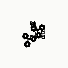 Clc1ccnc(P(c2ccccc2)c2ccccc2)c1Cl.[Pd].[Pd].c1ccc(P(c2ccccc2)c2ccccn2)cc1